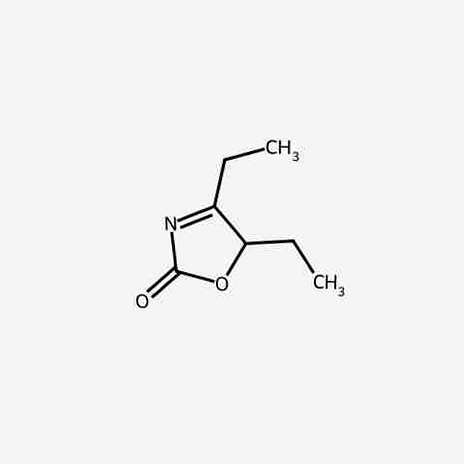 CCC1=NC(=O)OC1CC